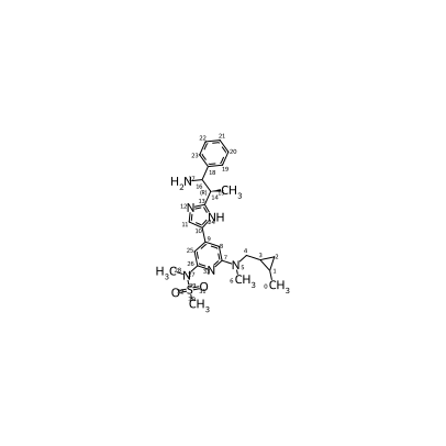 CC1CC1CN(C)c1cc(-c2cnc([C@H](C)C(N)c3ccccc3)[nH]2)cc(N(C)S(C)(=O)=O)n1